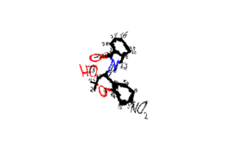 CC1(C)Oc2cc([N+](=O)[O-])ccc2[C@H](N2Cc3ccccc3C2=O)[C@H]1O